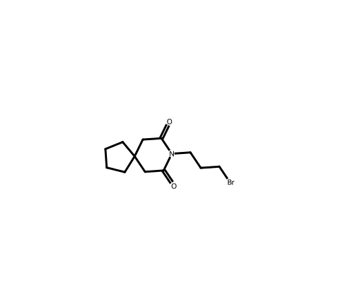 O=C1CC2(CCCC2)CC(=O)N1CCCBr